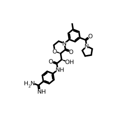 Cc1cc(C(=O)N2CCCC2)cc(N2CCO[C@H]([C@@H](O)C(=O)Nc3ccc(C(=N)N)cc3)C2=O)c1